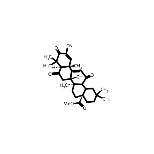 COC(=O)[C@]12CCC(C)(C)CC1C1C(=O)C=C3[C@@]4(C)C=C(C#N)C(=O)C(C)(C)[C@@H]4C(=O)C[C@@]3(C)[C@]1(C)CC2